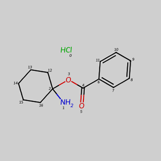 Cl.NC1(OC(=O)c2ccccc2)CCCCC1